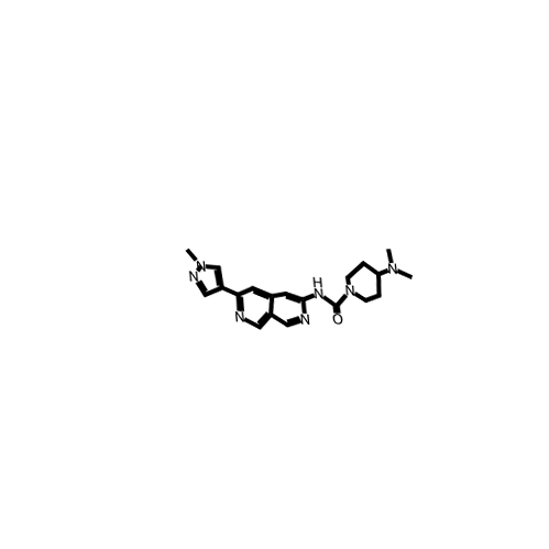 CN(C)C1CCN(C(=O)Nc2cc3cc(-c4cnn(C)c4)ncc3cn2)CC1